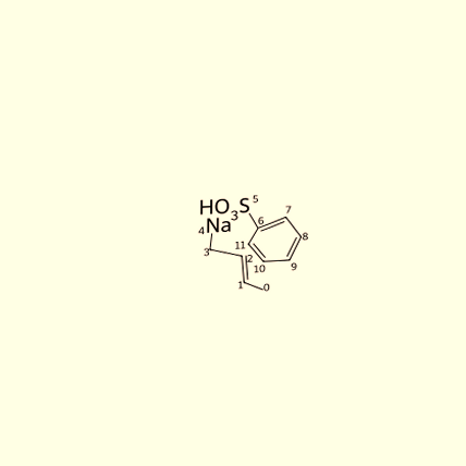 CC=C[CH2][Na].O=S(=O)(O)c1ccccc1